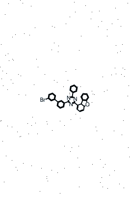 Brc1cccc(-c2cccc(-c3nc(C4=CC=CC5Oc6ccccc6C45)nc(-c4ccccc4)n3)c2)c1